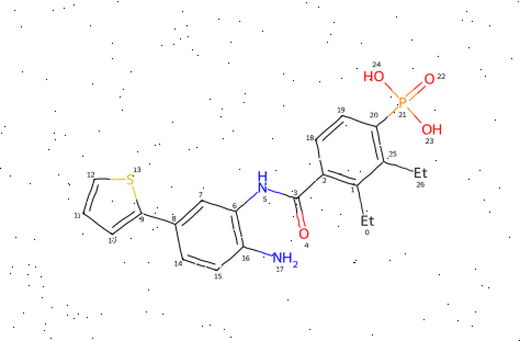 CCc1c(C(=O)Nc2cc(-c3cccs3)ccc2N)ccc(P(=O)(O)O)c1CC